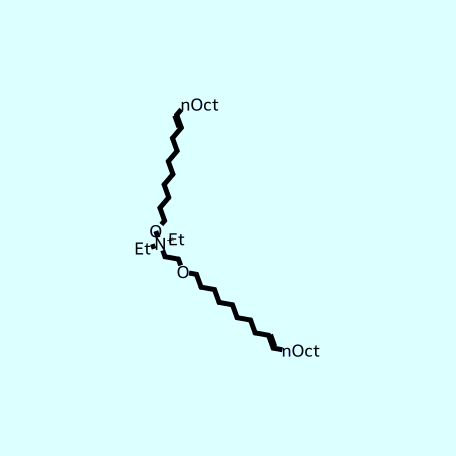 CCCCCCCCC=CCCCCCCCCOCC[N+](CC)(CC)OCCCCCCCCC=CCCCCCCCC